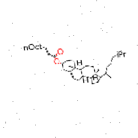 CCCCCCCCC=CC(=O)OC1CC[C@@]2(C)C(=CC[C@H]3[C@@H]4CC[C@H]([C@H](C)CCCC(C)C)[C@@]4(C)CC[C@@H]32)C1